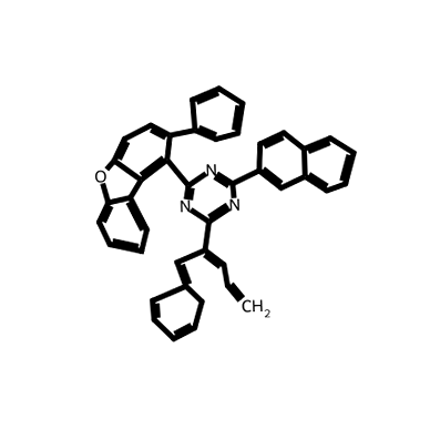 C=C/C=C(\C=C1\C=CC=CC1)c1nc(-c2ccc3ccccc3c2)nc(-c2c(-c3ccccc3)ccc3oc4ccccc4c23)n1